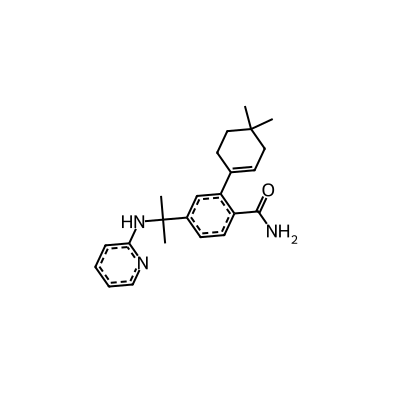 CC1(C)CC=C(c2cc(C(C)(C)Nc3ccccn3)ccc2C(N)=O)CC1